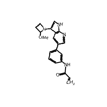 C=CC(=O)Nc1cccc(-c2cnc3[nH]cc(N4CCC4OC)c3c2)c1